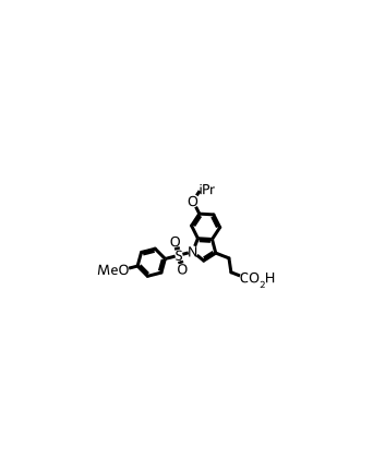 COc1ccc(S(=O)(=O)n2cc(CCC(=O)O)c3ccc(OC(C)C)cc32)cc1